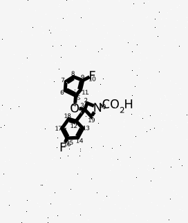 O=C(O)N1CC(Oc2cccc(F)c2)(c2ccc(F)cc2)C1